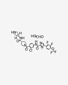 Cn1c(-c2ccc(OC(F)F)c(F)c2F)cnc1C(=O)Nc1ccc(C(=O)N2CCC(C(=O)NC3[C@H]4CNC[C@@H]34)CC2)c(Cl)c1.O=CO